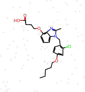 CCCCCOc1ccc(Cn2c(C)nc3c(OCCCC(=O)O)cccc32)c(Cl)c1